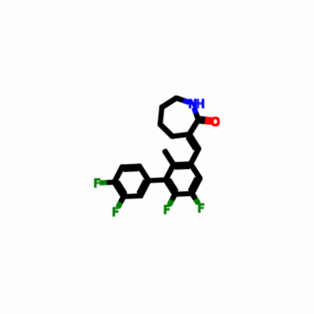 Cc1c(/C=C2\CCCCNC2=O)cc(F)c(F)c1-c1ccc(F)c(F)c1